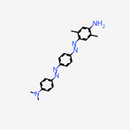 Cc1cc(/N=N/c2ccc(/N=N/c3ccc(N(C)C)cc3)cc2)c(C)cc1N